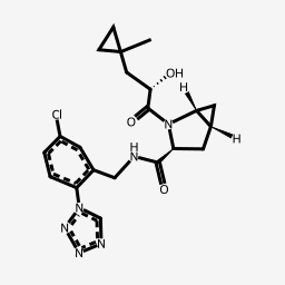 CC1(C[C@H](O)C(=O)N2[C@@H]3C[C@@H]3C[C@H]2C(=O)NCc2cc(Cl)ccc2-n2cnnn2)CC1